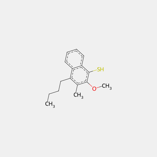 CCCCc1c(C)c(OC)c(S)c2ccccc12